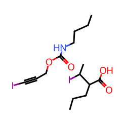 CCCC(C(=O)O)C(C)I.CCCCNC(=O)OCC#CI